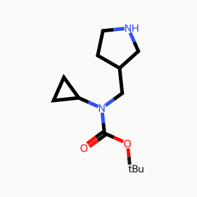 CC(C)(C)OC(=O)N(CC1CCNC1)C1CC1